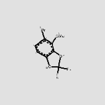 COc1c(C(C)C)ccc2c1OC(F)(F)O2